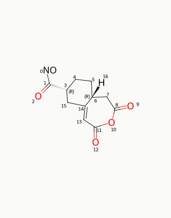 O=NC(=O)[C@@H]1CC[C@@H]2CC(=O)OC(=O)C=C2C1